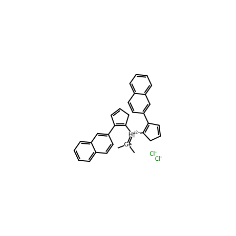 [CH3][Ge]([CH3])=[Hf+2]([C]1=C(c2ccc3ccccc3c2)C=CC1)[C]1=C(c2ccc3ccccc3c2)C=CC1.[Cl-].[Cl-]